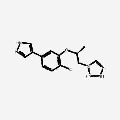 C[C@@H](CN1C=NNN1)Oc1cc(-c2cn[nH]c2)ccc1Cl